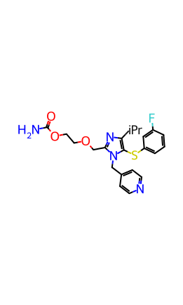 CC(C)c1nc(COCCOC(N)=O)n(Cc2ccncc2)c1Sc1cccc(F)c1